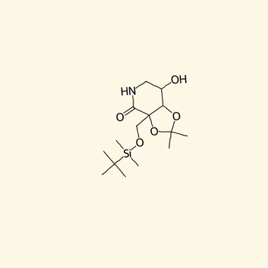 CC1(C)OC2C(O)CNC(=O)C2(CO[Si](C)(C)C(C)(C)C)O1